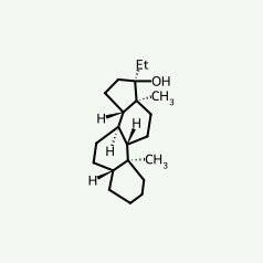 CC[C@@]1(O)CC[C@H]2[C@@H]3CC[C@H]4CCCC[C@]4(C)[C@H]3CC[C@@]21C